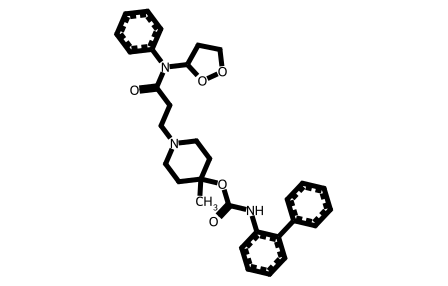 CC1(OC(=O)Nc2ccccc2-c2ccccc2)CCN(CCC(=O)N(c2ccccc2)C2CCOO2)CC1